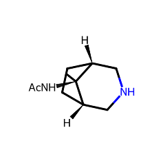 CC(=O)N[C@@]1(C)[C@@H]2CC[C@H]1CNC2